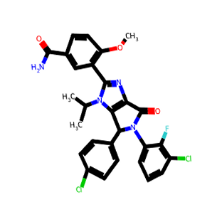 COc1ccc(C(N)=O)cc1-c1nc2c(n1C(C)C)C(c1ccc(Cl)cc1)N(c1cccc(Cl)c1F)C2=O